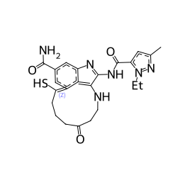 CCn1nc(C)cc1C(=O)NC1=Nc2cc(C(N)=O)c/c3c2=C1NCCC(=O)CCC/C=3S